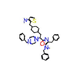 CN(C)c1ccsc1CC1CCC(CC(c2nc(Cc3ccccc3)c(N(C)Cc3ccccc3)o2)N2CCN(Cc3ccccc3)CC2)CC1